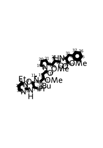 CCc1ccnc(NC(C(=O)N(C)[C@@H]([C@@H](C)CC)[C@@H](CC(=O)N2CCCC2[C@H](OC)[C@@H](C)C(=O)NC(Cc2ccccc2)C(=O)OC)OC)C(C)C)n1